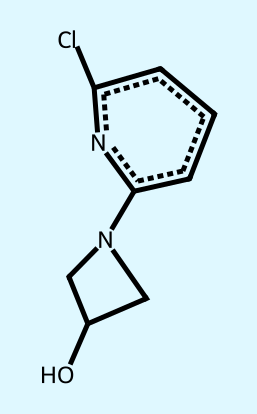 OC1CN(c2cccc(Cl)n2)C1